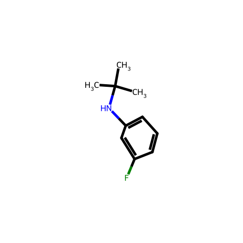 CC(C)(C)Nc1cccc(F)c1